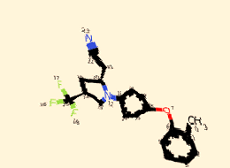 Cc1ccccc1Oc1ccc(N2C[C@@H](C(F)(F)F)C[C@H]2CC#N)cc1